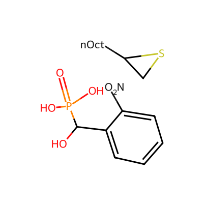 CCCCCCCCC1CS1.O=[N+]([O-])c1ccccc1C(O)P(=O)(O)O